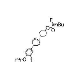 CCCC[C@H](F)C(=O)O[C@H]1CC[C@H](c2ccc(-c3ccc(OCCC)c(F)c3)cc2)CC1